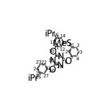 CSc1cccc(Oc2nc(Oc3cccc(C(C)C)c3)nc(Oc3cccc(C(C)C)c3)n2)c1